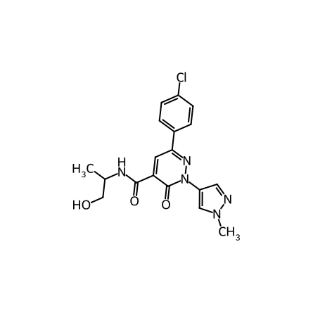 CC(CO)NC(=O)c1cc(-c2ccc(Cl)cc2)nn(-c2cnn(C)c2)c1=O